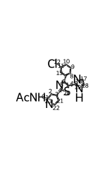 CC(=O)Nc1cc(-c2nc(-c3cccc(Cl)c3)c(-c3ncc[nH]3)s2)ccn1